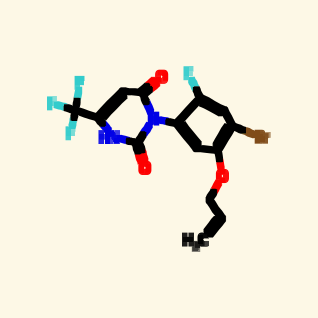 C=CCOc1cc(-n2c(=O)cc(C(F)(F)F)[nH]c2=O)c(F)cc1Br